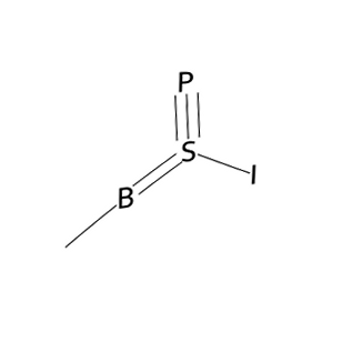 CB=S(#P)I